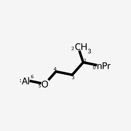 CCCC(C)CC[O][Al]